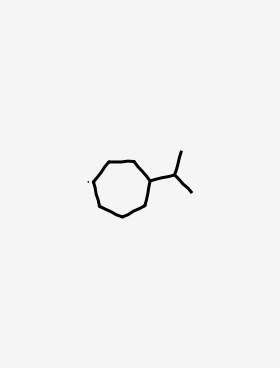 CC(C)C1CC[CH]CCC1